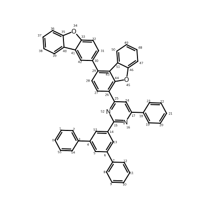 c1ccc(-c2cc(-c3ccccc3)cc(-c3nc(-c4ccccc4)cc(-c4ccc(-c5ccc6oc7ccccc7c6c5)c5c4oc4ccccc45)n3)c2)cc1